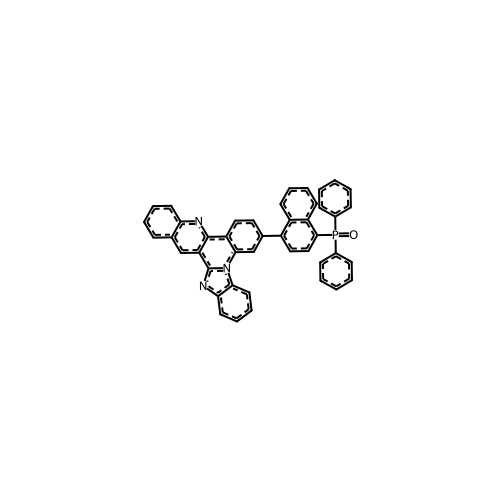 O=P(c1ccccc1)(c1ccccc1)c1ccc(-c2ccc3c4nc5ccccc5cc4c4nc5ccccc5n4c3c2)c2ccccc12